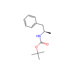 C[C@H](Cc1ccccc1)NC(=O)OC(C)(C)C